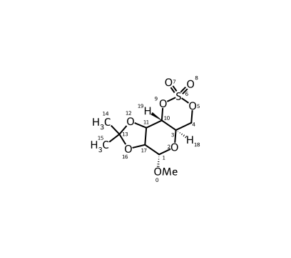 CO[C@H]1O[C@@H]2COS(=O)(=O)O[C@H]2C2OC(C)(C)OC21